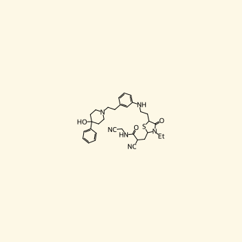 CCN1C(=O)C(CCNc2cccc(CCN3CCC(O)(c4ccccc4)CC3)c2)SC1CC(C#N)C(=O)NCC#N